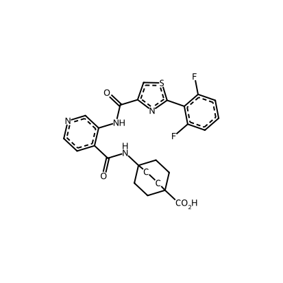 O=C(Nc1cnccc1C(=O)NC12CCC(C(=O)O)(CC1)CC2)c1csc(-c2c(F)cccc2F)n1